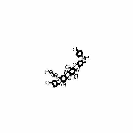 Cc1cc2c(cc1Nc1ccc(Cl)cc1)Oc1c(Cl)c3c(c(Cl)c1=N2)Oc1cc(Nc2ccc(Cl)cc2)c(SOOO)cc1N=3